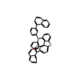 c1ccc(N(c2cccc(-c3cccc4ccccc34)c2)c2cccc3sc4ccc5c(oc6ccc7ccccc7c65)c4c23)cc1